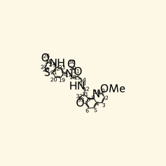 COc1ccc2ccc3c(c2n1)C(CNCC1CN(c2ccc4c(c2)NC(=O)CS4)C(=O)O1)CO3